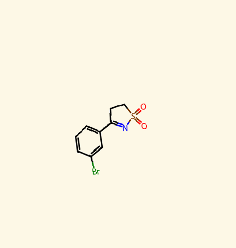 O=S1(=O)CCC(c2cccc(Br)c2)=N1